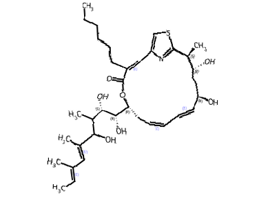 C/C=C(C)/C=C(\C)C(O)C(C)[C@H](O)[C@@H](O)[C@H]1C/C=C\C=C\[C@H](O)C[C@@H](O)[C@H](C)c2nc(cs2)/C=C(\CCCCCC)C(=O)O1